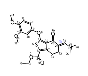 CCOC(=O)c1sc(Oc2ccc(OC)c(OC)c2)c2c1CC/C(=C\N(C)C)C2=O